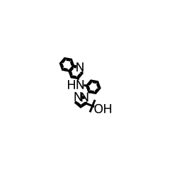 CC(C)(O)c1ccnn1-c1ccccc1Nc1cnc2ccccc2c1